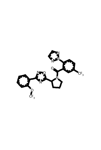 O=C(c1cc(C(F)(F)F)ccc1-n1nccn1)N1CCCC1c1nc(-c2ccccc2OC(F)(F)F)no1